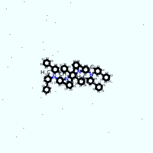 Cc1ccc(-c2ccccc2)cc1N(c1ccc2c3cccc4c5c(-c6ccccc6)c6c(c(-c7ccccc7)c5n(c2c1)c34)c1cccc2c3ccc(N(c4cc(-c5ccccc5)ccc4C)c4cc(-c5ccccc5)ccc4C)cc3n6c21)c1cc(-c2ccccc2)ccc1C